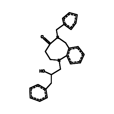 O=C1CCN(CC(O)Cc2ccccc2)c2ccccc2CN1Cc1ccccc1